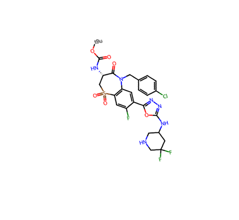 CC(C)(C)OC(=O)N[C@H]1CS(=O)(=O)c2cc(F)c(-c3nnc(NC4CNCC(F)(F)C4)o3)cc2N(Cc2ccc(Cl)cc2)C1=O